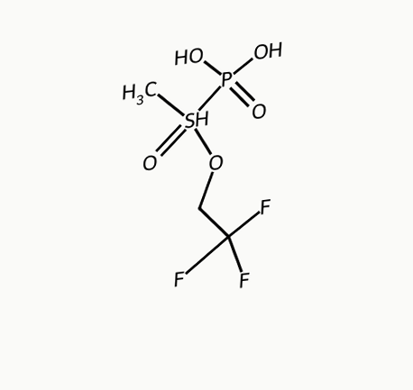 C[SH](=O)(OCC(F)(F)F)P(=O)(O)O